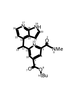 CNC(=O)c1cc(C(=O)OC(C)(C)C)cc(C(C)c2ccnc3[nH]ccc23)n1